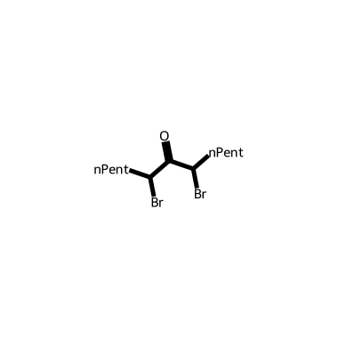 CCCCCC(Br)C(=O)C(Br)CCCCC